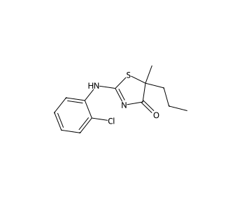 CCCC1(C)SC(Nc2ccccc2Cl)=NC1=O